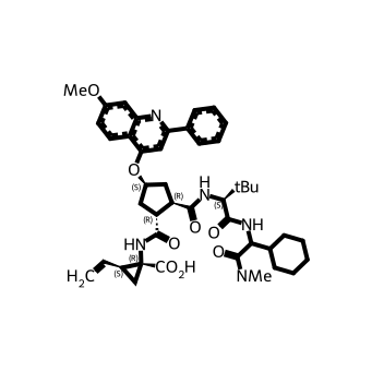 C=C[C@@H]1C[C@]1(NC(=O)[C@@H]1C[C@@H](Oc2cc(-c3ccccc3)nc3cc(OC)ccc23)C[C@H]1C(=O)N[C@H](C(=O)NC(C(=O)NC)C1CCCCC1)C(C)(C)C)C(=O)O